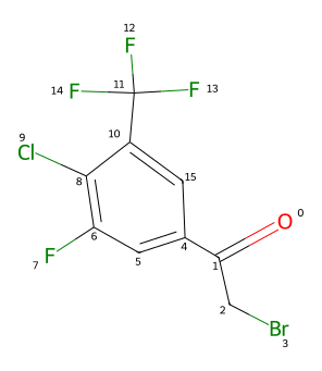 O=C(CBr)c1cc(F)c(Cl)c(C(F)(F)F)c1